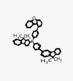 CC1(C)c2ccccc2-c2cc(-c3ccc(N(c4ccc(-c5cccc6oc7ccccc7c56)cc4)c4ccc5c(c4)C(C)(C)c4ccccc4-5)cc3)ccc21